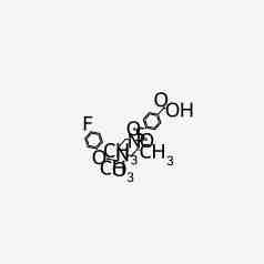 CC1CN(C(=O)C(C)(C)Oc2ccc(F)cc2)CCN1S(=O)(=O)c1ccc(C(=O)O)cc1